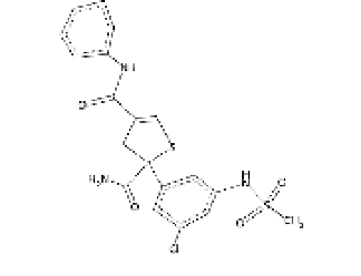 CS(=O)(=O)Nc1cc(Cl)cc(C2(C(N)=O)CC(C(=O)Nc3ccccc3)=CS2)c1